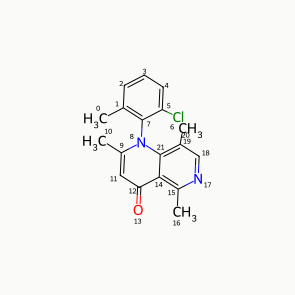 Cc1cccc(Cl)c1-n1c(C)cc(=O)c2c(C)ncc(C)c21